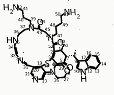 CC1C2=C(CC(=O)[C@H]1Cc1c[nH]c3ccccc13)Sc1c(cncc1N1CCOCC1)/C=N\C=C/NCCN(CCCN)C(=O)CN(CCCCN)C2=O